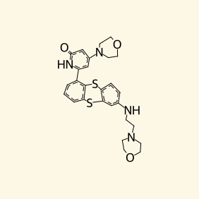 O=c1cc(N2CCOCC2)cc(-c2cccc3c2Sc2ccc(NCCN4CCOCC4)cc2S3)[nH]1